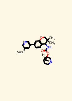 COc1cncc(-c2ccc3c(c2)OCC(C)(C)C3NC(=O)O[C@H]2CN3CCC2CC3)c1